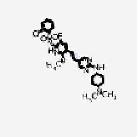 COc1nc(NS(=O)(=O)c2ccccc2Cl)c(F)cc1/C=C/c1cnc(N[C@H]2CC[C@H](N(C)C)CC2)nc1